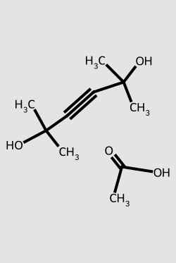 CC(=O)O.CC(C)(O)C#CC(C)(C)O